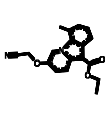 CCOC(=O)c1c2cccc(C)c2n2cc(OCC#N)ccc12